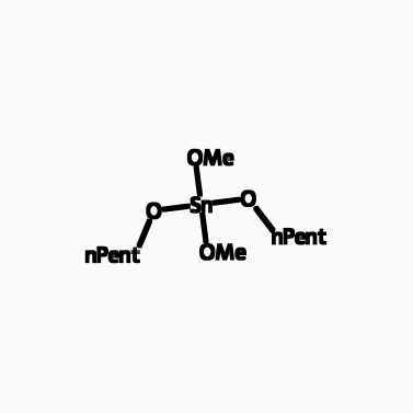 CCCCC[O][Sn]([O]C)([O]C)[O]CCCCC